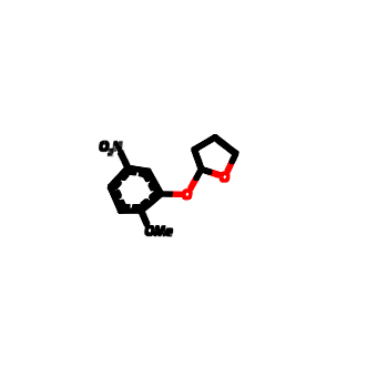 COc1ccc([N+](=O)[O-])cc1OC1CCCO1